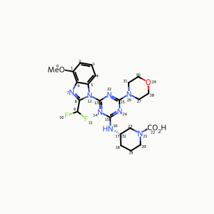 COc1cccc2c1nc(C(F)F)n2-c1nc(N[C@H]2CCCN(C(=O)O)C2)nc(N2CCOCC2)n1